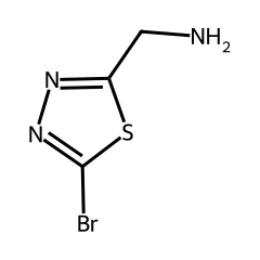 NCc1nnc(Br)s1